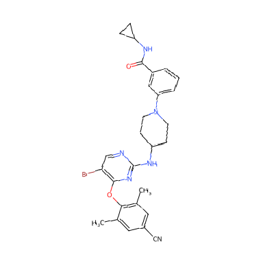 Cc1cc(C#N)cc(C)c1Oc1nc(NC2CCN(c3cccc(C(=O)NC4CC4)c3)CC2)ncc1Br